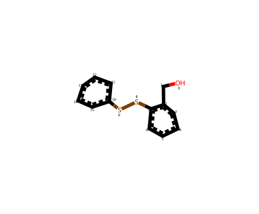 OCc1ccccc1SSc1ccccc1